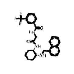 O=C(CNC(=O)c1cccc(C(F)(F)F)c1)N[C@H]1CCCC[C@H]1NCc1cccc2ccccc12